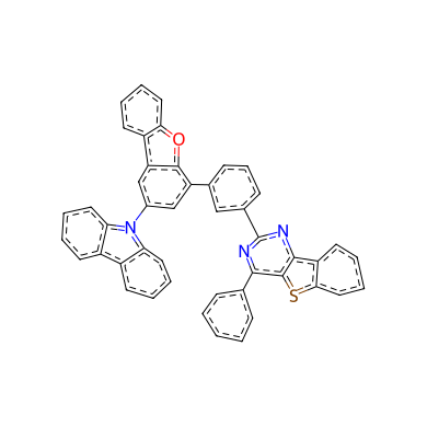 c1ccc(-c2nc(-c3cccc(-c4cc(-n5c6ccccc6c6ccccc65)cc5c4oc4ccccc45)c3)nc3c2sc2ccccc23)cc1